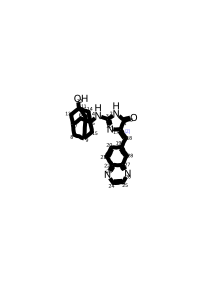 O=C1NC(NC23CC4CC(CC(O)(C4)C2)C3)=N/C1=C\c1ccc2nccnc2c1